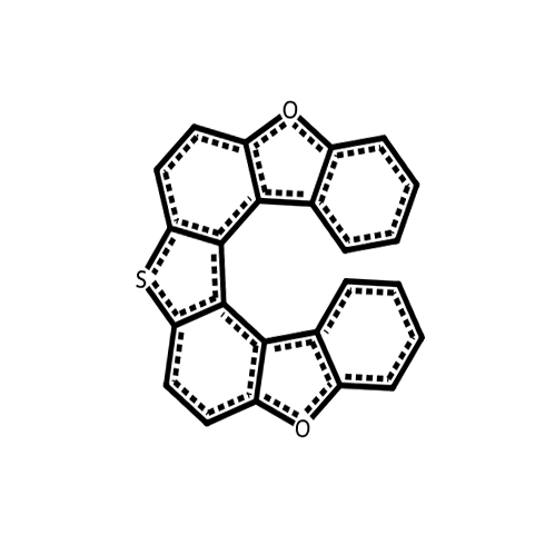 c1ccc2c(c1)oc1ccc3sc4ccc5oc6ccccc6c5c4c3c12